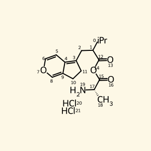 CC(C)C(CC1=C2C=COC=C2CC1)C(=O)OC(=O)[C@H](C)N.Cl.Cl